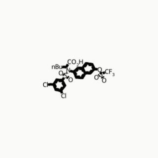 CCCCC(C(=O)O)N(c1ccc2cc(OS(=O)(=O)C(F)(F)F)ccc2c1)S(=O)(=O)c1cc(Cl)cc(Cl)c1